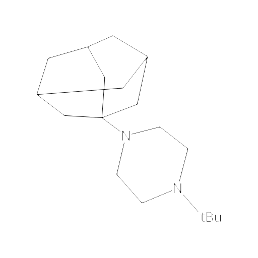 CC(C)(C)N1CCN(C23CC4CC(CC(C4)C2)C3)CC1